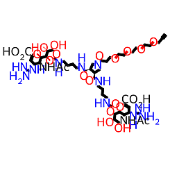 C#CCOCCOCCOCCOCCC(=O)N1C[C@@H](C(=O)NCCCCNC(=O)O[C@@H]([C@@H]2OC(C(=O)O)=C[C@H](NC(=N)N)[C@H]2NC(C)=O)[C@H](O)CO)[C@H](C(=O)NCCCCNC(=O)O[C@@H]([C@@H]2OC(C(=O)O)=C[C@H](NC(=N)N)[C@H]2NC(C)=O)[C@H](O)CO)C1